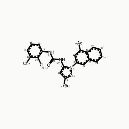 CC(=O)c1cc(-n2nc(C(C)(C)C)cc2NC(=O)Nc2cccc(Cl)c2Cl)cc2ccccc12